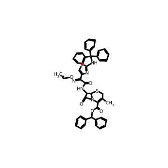 C=CON=C(C(=O)NC1C(=O)N2C(C(=O)OC(c3ccccc3)c3ccccc3)=C(C)CSC12)c1csc(NC(c2ccccc2)(c2ccccc2)c2ccccc2)n1